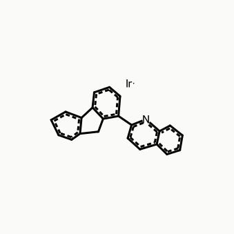 [Ir].c1ccc2c(c1)Cc1c(-c3ccc4ccccc4n3)cccc1-2